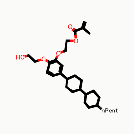 C=C(C)C(=O)OCCOc1cc(C2CCC(C3CCC(CCCCC)CC3)CC2)ccc1OCCO